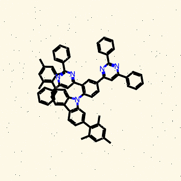 Cc1cc(C)c(-c2ccc3c4ccc(-c5c(C)cc(C)cc5C)cc4n(-c4ccc(-c5cc(-c6ccccc6)nc(-c6ccccc6)n5)cc4-c4cc(-c5ccccc5)nc(-c5ccccc5)n4)c3c2)c(C)c1